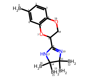 Bc1ccc2c(c1)OC(C1=NC(B)(B)C(B)(B)N1)CO2